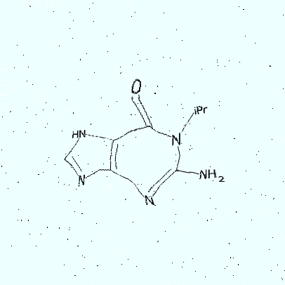 CC(C)n1c(N)nc2nc[nH]c2c1=O